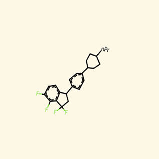 CCCC1CCC(c2ccc(C3CC(F)(F)c4c3ccc(F)c4F)cc2)CC1